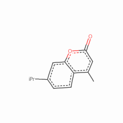 Cc1cc(=O)oc2cc(C(C)C)ccc12